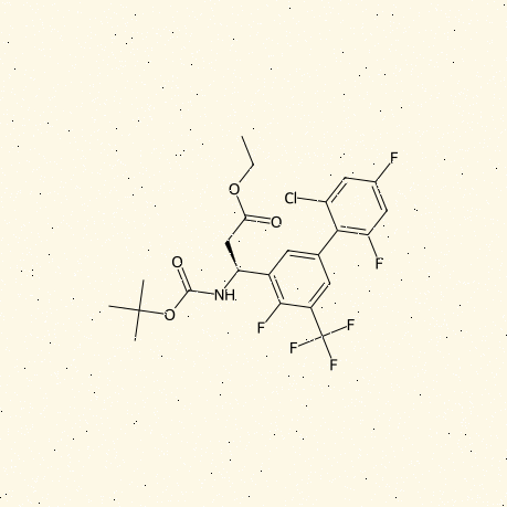 CCOC(=O)C[C@H](NC(=O)OC(C)(C)C)c1cc(-c2c(F)cc(F)cc2Cl)cc(C(F)(F)F)c1F